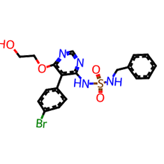 O=S(=O)(NCc1ccccc1)Nc1ncnc(OCCO)c1-c1ccc(Br)cc1